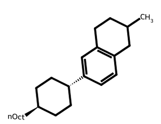 CCCCCCCC[C@H]1CC[C@H](c2ccc3c(c2)CCC(C)C3)CC1